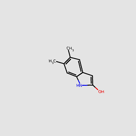 Cc1cc2cc(O)[nH]c2cc1C